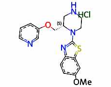 COc1ccc2nc(N3CCNC[C@H]3COc3cccnc3)sc2c1.Cl